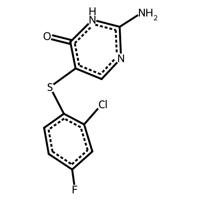 Nc1ncc(Sc2ccc(F)cc2Cl)c(=O)[nH]1